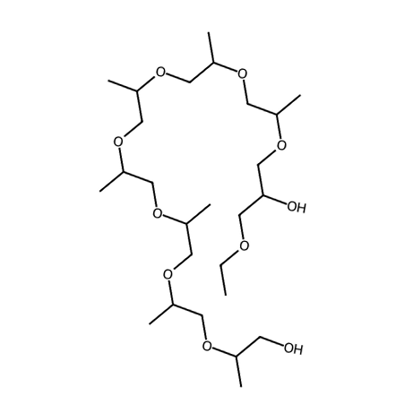 CCOCC(O)COC(C)COC(C)COC(C)COC(C)COC(C)COC(C)COC(C)CO